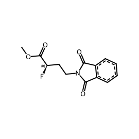 COC(=O)[C@H](F)CCN1C(=O)c2ccccc2C1=O